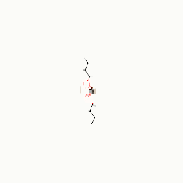 Br.CCCC[O][Al][O]CCCC